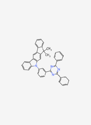 CC1(C)c2ccccc2-c2cc3c4ccccc4n(-c4cccc(-c5nc(C6=CC=CCC6)nc(-c6ccccc6)n5)c4)c3cc21